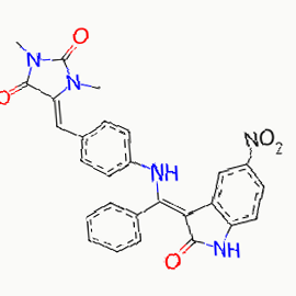 CN1C(=O)/C(=C/c2ccc(NC(=C3C(=O)Nc4ccc([N+](=O)[O-])cc43)c3ccccc3)cc2)N(C)C1=O